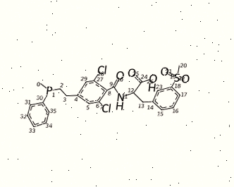 CP(CCc1cc(Cl)c(C(=O)NC(Cc2cccc(S(C)(=O)=O)c2)C(=O)O)c(Cl)c1)c1ccccc1